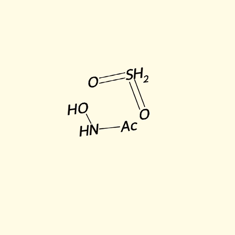 CC(=O)NO.O=[SH2]=O